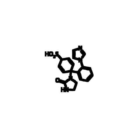 O=C1NCCN1C1(c2ccccc2-n2ccnc2)C=CC(S(=O)(=O)O)C=C1